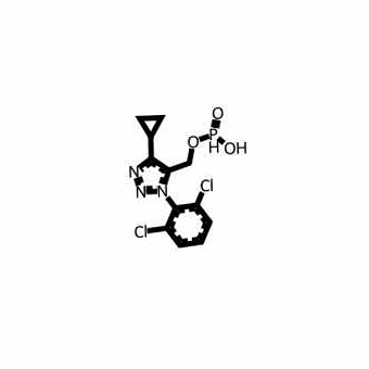 O=[PH](O)OCc1c(C2CC2)nnn1-c1c(Cl)cccc1Cl